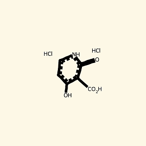 Cl.Cl.O=C(O)c1c(O)cc[nH]c1=O